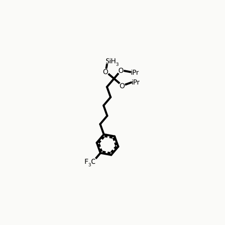 CC(C)OC(CCCCCc1cccc(C(F)(F)F)c1)(O[SiH3])OC(C)C